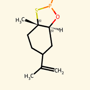 C=C(C)C1CC[C@]2(C)SP(Cl)O[C@H]2C1